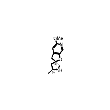 COc1cc2c(cn1)O[C@]1(CN[C@@H](C)C1)C2